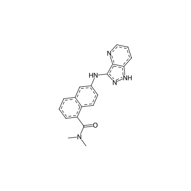 CN(C)C(=O)c1cccc2cc(Nc3n[nH]c4cccnc34)ccc12